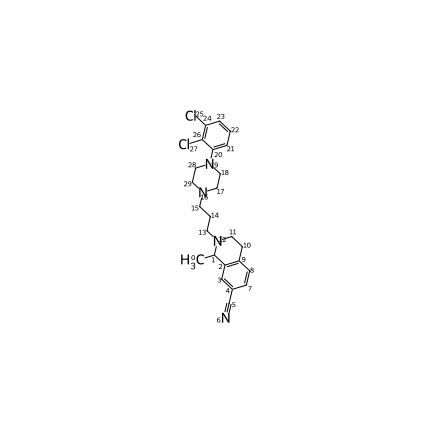 CC1c2cc(C#N)ccc2CCN1CCCN1CCN(c2cccc(Cl)c2Cl)CC1